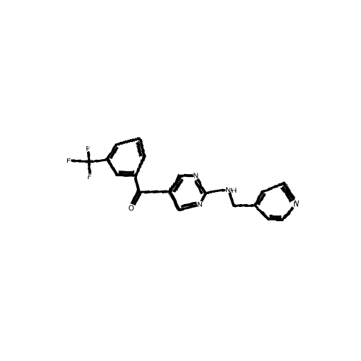 O=C(c1cnc(NCc2ccncc2)nc1)c1cccc(C(F)(F)F)c1